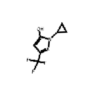 Oc1cc(C(F)(F)F)nn1C1CC1